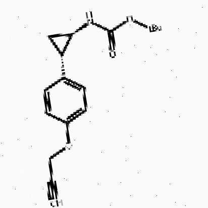 C#CCOc1ccc([C@@H]2C[C@H]2NC(=O)OC(C)(C)C)cc1